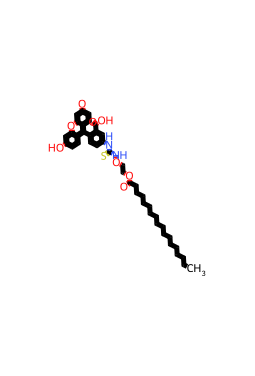 CCCCCCCCCCCCCCCCCC(=O)OCCONC(=S)Nc1ccc(-c2c3ccc(=O)cc-3oc3cc(O)ccc23)c(C(=O)O)c1